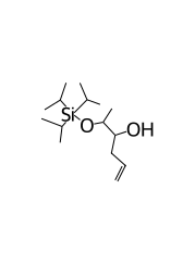 C=CCC(O)C(C)O[Si](C(C)C)(C(C)C)C(C)C